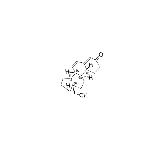 O=C1C=C2C=C[C@@H]3[C@H](CC[C@]4(CO)CCC[C@@H]34)[C@H]2CC1